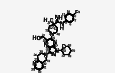 CC1(C(=N)Nc2ccc(F)cc2)CCN(c2nc3c(nc2CO)c(N2CCc4ncccc4C2)nn3C2CCCCO2)CC1